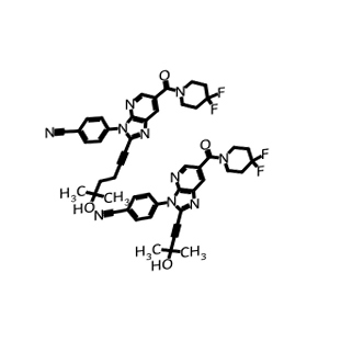 CC(C)(O)C#Cc1nc2cc(C(=O)N3CCC(F)(F)CC3)cnc2n1-c1ccc(C#N)cc1.CC(C)(O)CCC#Cc1nc2cc(C(=O)N3CCC(F)(F)CC3)cnc2n1-c1ccc(C#N)cc1